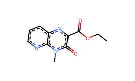 CCOC(=O)c1nc2cccnc2n(C)c1=O